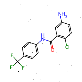 Nc1ccc(Cl)c(C(=O)Nc2ccc(C(F)(F)F)cc2)c1